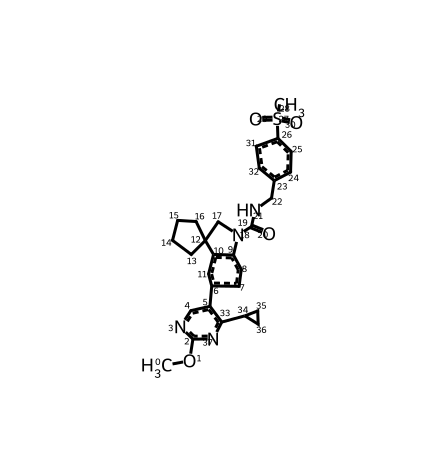 COc1ncc(-c2ccc3c(c2)C2(CCCC2)CN3C(=O)NCc2ccc(S(C)(=O)=O)cc2)c(C2CC2)n1